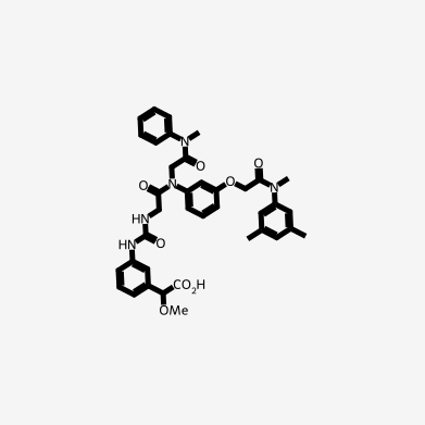 COC(C(=O)O)c1cccc(NC(=O)NCC(=O)N(CC(=O)N(C)c2ccccc2)c2cccc(OCC(=O)N(C)c3cc(C)cc(C)c3)c2)c1